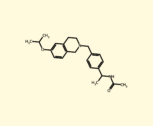 CC(=O)NC(C)c1ccc(CN2CCc3cc(OC(C)C)ccc3C2)cc1